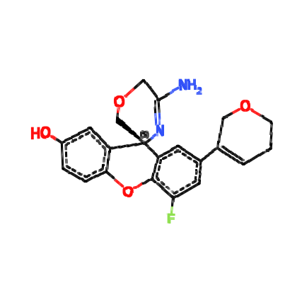 NC1=N[C@@]2(COC1)c1cc(O)ccc1Oc1c(F)cc(C3=CCCOC3)cc12